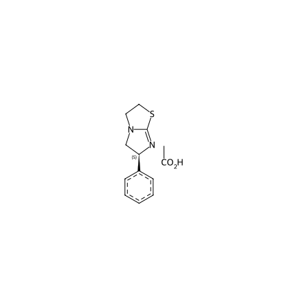 CC(=O)O.c1ccc([C@H]2CN3CCSC3=N2)cc1